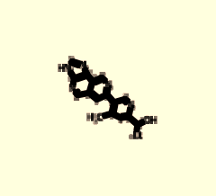 CCC(O)c1cc(C)c(-c2cc3cnc4[nH]cnc4c3cn2)cn1